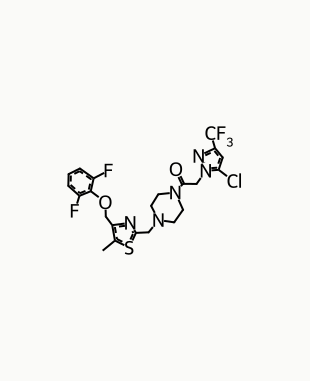 Cc1sc(CN2CCN(C(=O)Cn3nc(C(F)(F)F)cc3Cl)CC2)nc1COc1c(F)cccc1F